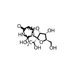 CO[C@@H]1[C@H](O)[C@@H](CO)O[C@@]1(C(O)C(=O)O)n1ccc(=O)[nH]c1=O